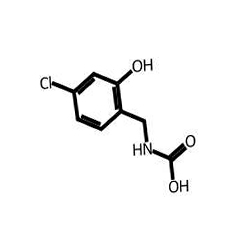 O=C(O)NCc1ccc(Cl)cc1O